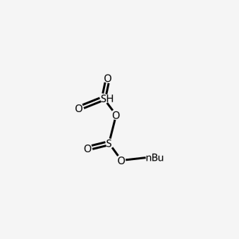 CCCCOS(=O)O[SH](=O)=O